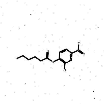 CCCCCC(=O)Oc1ccc(C(=O)Cl)cc1Cl